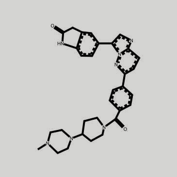 CN1CCN(C2CCN(C(=O)c3ccc(-c4ccc5ncc(-c6ccc7c(c6)CC(=O)N7)n5n4)cc3)CC2)CC1